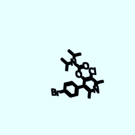 Cc1nc(C)c(-c2ccc(Br)cc2)c(OC(=O)N(C(C)C)C(C)C)c1Cl